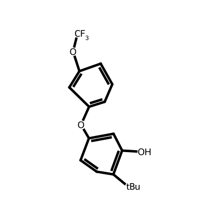 CC(C)(C)c1ccc(Oc2cccc(OC(F)(F)F)c2)cc1O